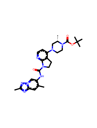 Cc1nc2cc(C)c(NC(=O)N3CCc4c(N5CCN(C(=O)OC(C)(C)C)[C@@H](C)C5)ccnc43)cn2n1